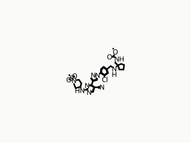 COC(=O)NCC1(NCc2ccc(-n3cc(-c4nc(NC5CCN(S(C)(=O)=O)CC5)ncc4C#N)cn3)c(Cl)c2)CCCC1